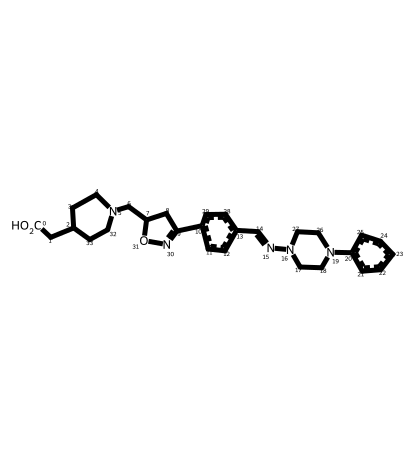 O=C(O)CC1CCN(CC2CC(c3ccc(C=NN4CCN(c5ccccc5)CC4)cc3)=NO2)CC1